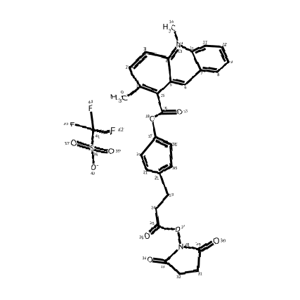 Cc1ccc2c(cc3ccccc3[n+]2C)c1C(=O)Oc1ccc(CCC(=O)ON2C(=O)CCC2=O)cc1.O=S(=O)([O-])C(F)(F)F